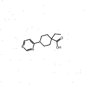 CCC1(C(=O)O)CCN(c2ccbcn2)CC1